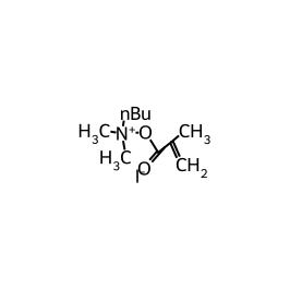 C=C(C)C(=O)O[N+](C)(C)CCCC.[I-]